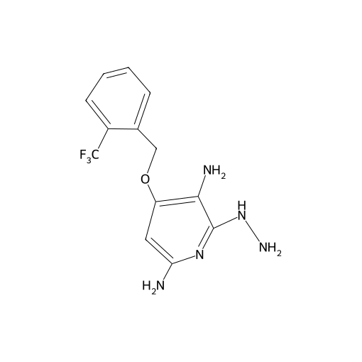 NNc1nc(N)cc(OCc2ccccc2C(F)(F)F)c1N